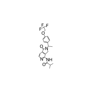 CC(C)C(=O)Nc1nccc2c1CN(C(C)c1ccc(OCC(F)(F)F)cc1)C2=O